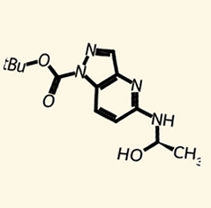 C[C@@H](O)Nc1ccc2c(cnn2C(=O)OC(C)(C)C)n1